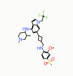 COc1cc(S(C)(=O)=O)ccc1NCC1CC(c2cc(NC3CCN(C)CC3C)c3ccn(CC(F)(F)F)c3c2)C1